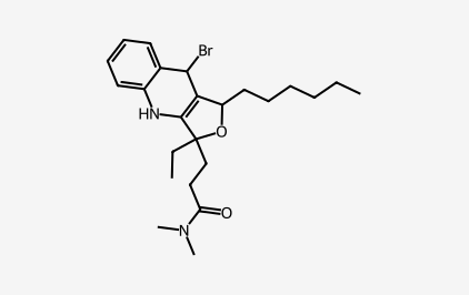 CCCCCCC1OC(CC)(CCC(=O)N(C)C)C2=C1C(Br)c1ccccc1N2